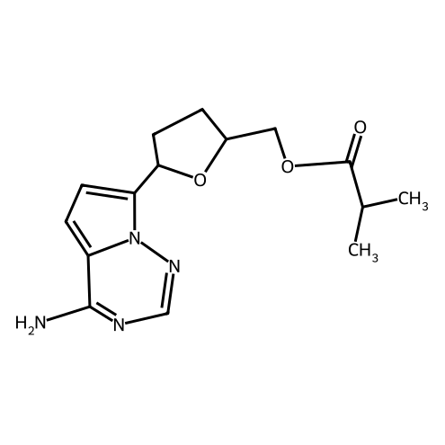 CC(C)C(=O)OCC1CCC(c2ccc3c(N)ncnn23)O1